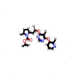 C=C(C)OC(=O)N1C(C)CCC1C[C@@H](C)Oc1ncnc(Oc2cccnc2C)c1C